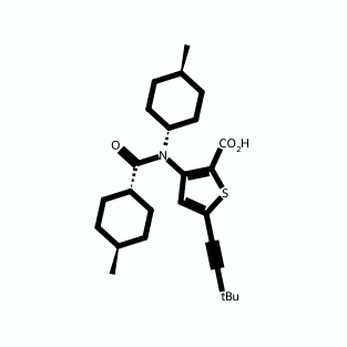 CC(C)(C)C#Cc1cc(N(C(=O)[C@H]2CC[C@H](C)CC2)[C@H]2CC[C@H](C)CC2)c(C(=O)O)s1